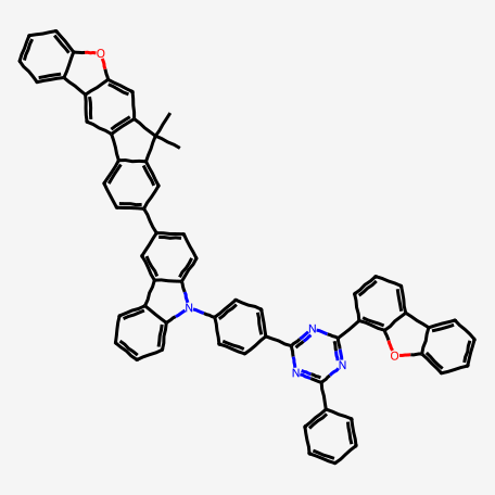 CC1(C)c2cc(-c3ccc4c(c3)c3ccccc3n4-c3ccc(-c4nc(-c5ccccc5)nc(-c5cccc6c5oc5ccccc56)n4)cc3)ccc2-c2cc3c(cc21)oc1ccccc13